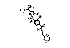 CC(C)c1cc2n(c1)S(=O)(=O)c1ccc(C(=O)NCCC3COCCO3)cc1NC2=O